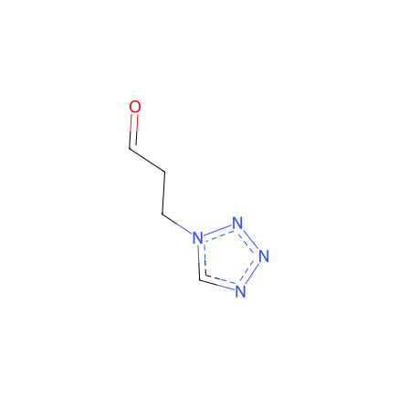 O=CCCn1cnnn1